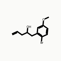 C=CCC(O)Cc1cc(OC)ccc1Br